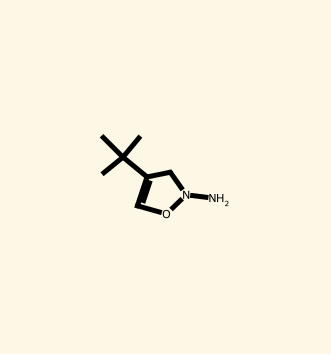 CC(C)(C)C1=CON(N)C1